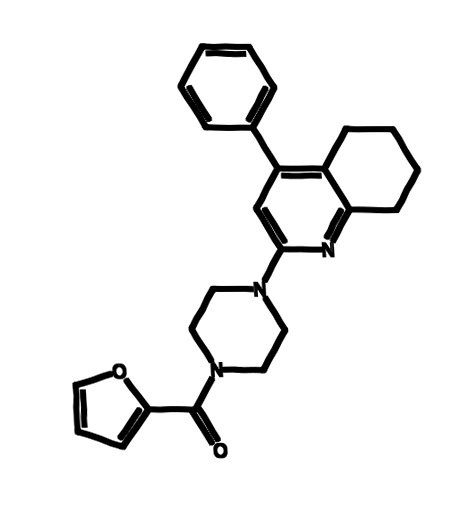 O=C(c1ccco1)N1CCN(c2cc(-c3ccccc3)c3c(n2)CCCC3)CC1